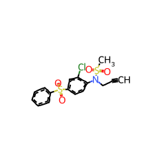 C#CCN(c1ccc(S(=O)(=O)c2ccccc2)cc1Cl)S(C)(=O)=O